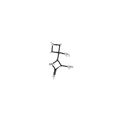 CC(=O)OC1C(=O)NC1C1(C)COC1